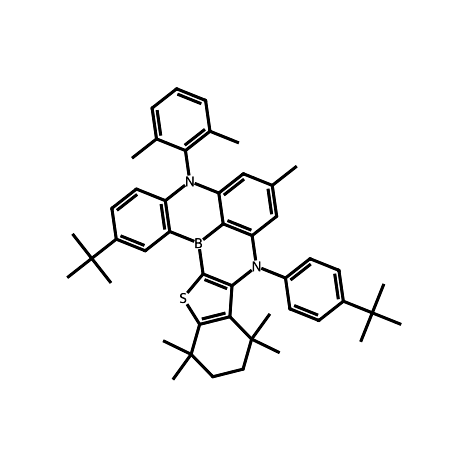 Cc1cc2c3c(c1)N(c1c(C)cccc1C)c1ccc(C(C)(C)C)cc1B3c1sc3c(c1N2c1ccc(C(C)(C)C)cc1)C(C)(C)CCC3(C)C